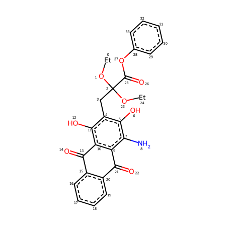 CCOC(Cc1c(O)c(N)c2c(c1O)C(=O)c1ccccc1C2=O)(OCC)C(=O)Oc1ccccc1